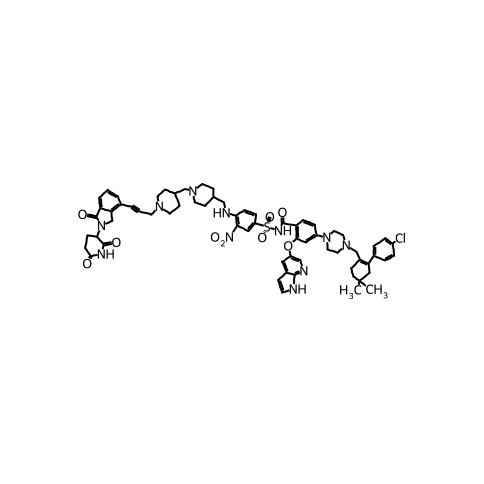 CC1(C)CCC(CN2CCN(c3ccc(C(=O)NS(=O)(=O)c4ccc(NCC5CCN(CC6CCN(CC#Cc7cccc8c7CN(C7CCC(=O)NC7=O)C8=O)CC6)CC5)c([N+](=O)[O-])c4)c(Oc4cnc5[nH]ccc5c4)c3)CC2)=C(c2ccc(Cl)cc2)C1